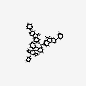 CC1(C)c2cc(-c3ccccc3)ccc2-c2ccc(N(c3ccc4c(c3)C(C)(C)c3cc(-c5ccccc5)ccc3-4)c3cccc4c3-c3ccccc3C43c4ccccc4N(c4ccccc4)c4ccccc43)cc21